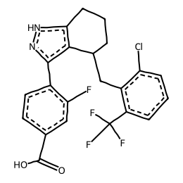 O=C(O)c1ccc(-c2n[nH]c3c2C(Cc2c(Cl)cccc2C(F)(F)F)CCC3)c(F)c1